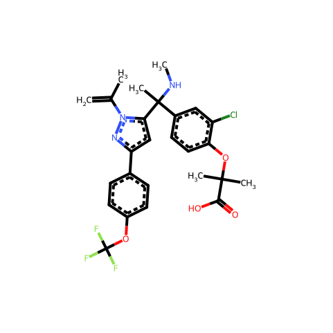 C=C(C)n1nc(-c2ccc(OC(F)(F)F)cc2)cc1C(C)(NC)c1ccc(OC(C)(C)C(=O)O)c(Cl)c1